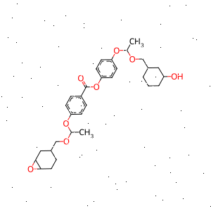 CC(OCC1CCCC(O)C1)Oc1ccc(OC(=O)c2ccc(OC(C)OCC3CCC4OC4C3)cc2)cc1